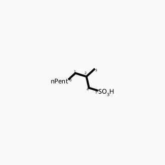 CCCCCCC(C)CS(=O)(=O)O